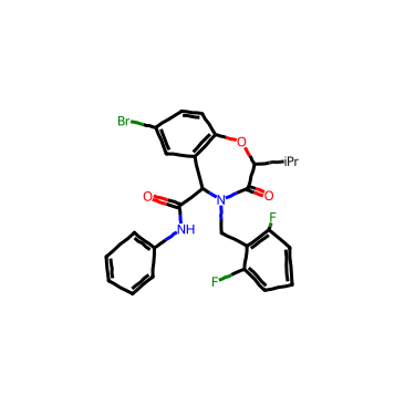 CC(C)C1Oc2ccc(Br)cc2C(C(=O)Nc2ccccc2)N(Cc2c(F)cccc2F)C1=O